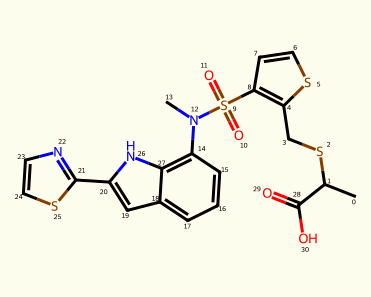 CC(SCc1sccc1S(=O)(=O)N(C)c1cccc2cc(-c3nccs3)[nH]c12)C(=O)O